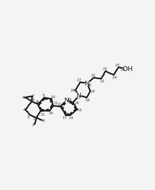 CC1(C)CCC2(CC2)c2ccc(-c3cccc(N4CCN(CCCCCO)CC4)n3)cc21